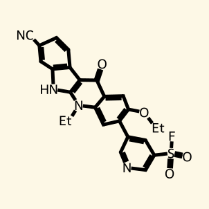 CCOc1cc2c(=O)c3c4ccc(C#N)cc4[nH]c3n(CC)c2cc1-c1cncc(S(=O)(=O)F)c1